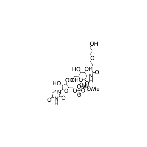 COP(=O)(OCC1OC(n2ccc(=O)[nH]c2=O)C(O)C1O)OP(=O)(OC)O[C@H]1OC(CO)[C@@H](O)[C@H](O)C1NC(=O)CCCOCCCO